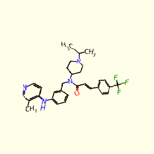 Cc1cnccc1Nc1cccc(CN(C(=O)C=Cc2ccc(C(F)(F)F)cc2)C2CCN(C(C)C)CC2)c1